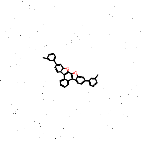 Cc1cccc(C2=CC3Oc4c(c5ccccc5c5c4oc4cc(-c6cccc(C)c6)ccc45)C3C=C2)c1